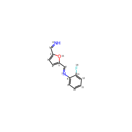 N=Cc1ccc(C=Nc2ccccc2F)o1